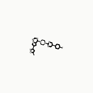 Cc1cc(-c2cc3c(N4CCN(c5ncc(-c6ccc(F)cc6)cn5)CC4)ncnn3c2)no1